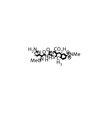 CNS(=O)(=O)c1ccc(C)c(CC2=C(C(=O)O)N3C(=O)[C@@H](NC(=O)C(=NOC)c4csc(N)n4)[C@H]3SC2)c1